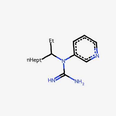 CCCCCCCC(CC)N(C(=N)N)c1cccnc1